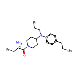 CC(C)CCN(c1ccc(CCC(C)(C)C)cc1)C1CCN(C(=O)[C@@H](N)CC(C)C)CC1